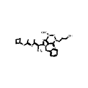 CC(/N=C(\C)OC1CCC1)=C(/N)c1nc(N(C=O)C(C)C)c(C(=O)N(C)CCCO)n1Cc1ccccc1